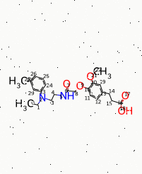 CCN(CCNC(=O)COc1ccc(CCC(=O)O)cc1OC)c1cccc(C)c1